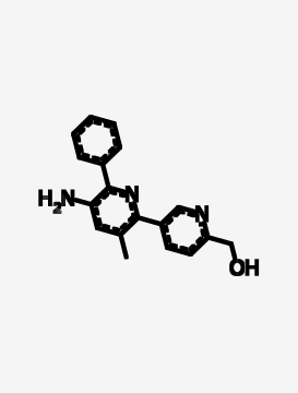 Cc1cc(N)c(-c2ccccc2)nc1-c1ccc(CO)nc1